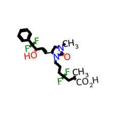 CC(CC(F)(F)CCCN1C(=O)N(C)C[C@@H]1C=CC(O)C(F)(F)c1ccccc1)C(=O)O